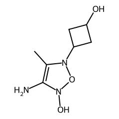 CC1=C(N)N(O)ON1C1CC(O)C1